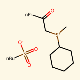 CCCC(=O)C[S+](C)C1CCCCC1.CCCCS(=O)(=O)[O-]